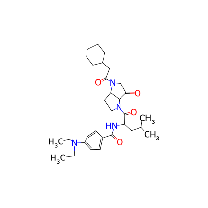 CCN(CC)c1ccc(C(=O)NC(CC(C)C)C(=O)N2CCC3C2C(=O)CN3C(=O)CC2CCCCC2)cc1